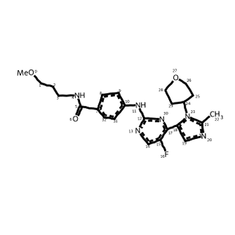 COCCCNC(=O)c1ccc(Nc2ncc(F)c(-c3cnc(C)n3C3CCOCC3)n2)cc1